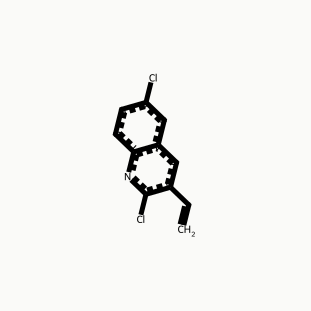 C=Cc1cc2cc(Cl)ccc2nc1Cl